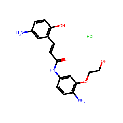 Cl.Nc1ccc(O)c(C=CC(=O)Nc2ccc(N)c(OCCO)c2)c1